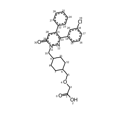 O=C(O)COCC1CCC(Cn2nc(-c3cccc(Cl)c3)c(-c3ccccc3)cc2=O)CC1